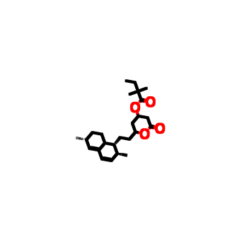 CCC(C)(C)C(=O)O[C@H]1CC(=O)OC(CC[C@@H]2C3CC[C@@H](C)C=C3C=C[C@@H]2C)C1